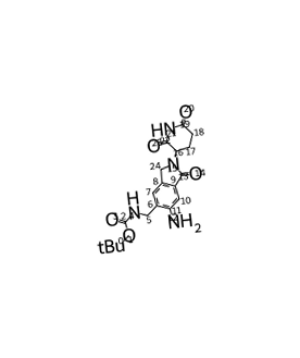 CC(C)(C)OC(=O)NCc1cc2c(cc1N)C(=O)N(C1CCC(=O)NC1=O)C2